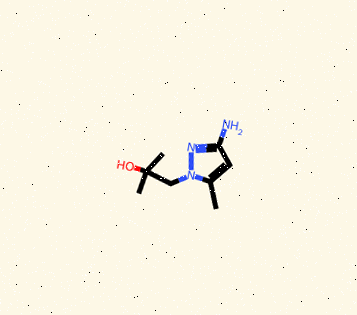 Cc1cc(N)nn1CC(C)(C)O